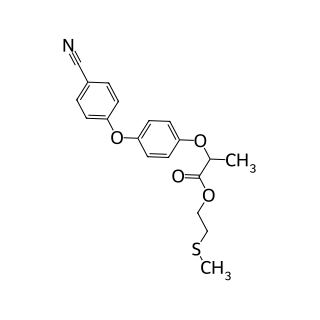 CSCCOC(=O)C(C)Oc1ccc(Oc2ccc(C#N)cc2)cc1